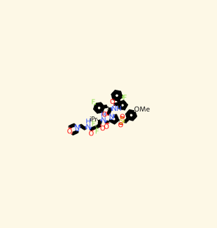 COc1ccc(CS(=O)(=O)[C@@H]2C[C@@H](C(=O)N[C@H](C(=O)C(F)(F)C(=O)NCCN3CCOCC3)C(C)C)N(C(=O)[C@H](Cc3cccc(F)c3)NC(=O)C3(c4ccccc4F)CCCC3)C2)cc1